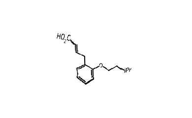 CC(C)CCOc1ccccc1CC=CC(=O)O